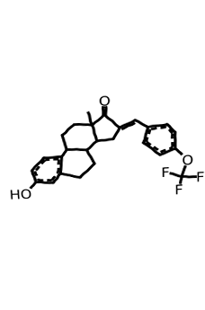 CC12CCC3c4ccc(O)cc4CCC3C1C/C(=C\c1ccc(OC(F)(F)F)cc1)C2=O